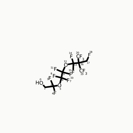 OCC(F)(F)OC(F)(F)C(F)(F)OC(F)(F)C(CF)(C(F)(F)F)C(F)(F)F